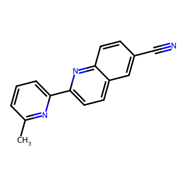 Cc1cccc(-c2ccc3cc(C#N)ccc3n2)n1